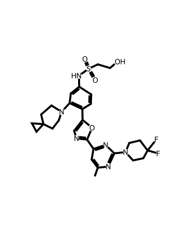 Cc1cc(-c2ncc(-c3ccc(NS(=O)(=O)CCO)cc3N3CCC4(CC3)CC4)o2)nc(N2CCC(F)(F)CC2)n1